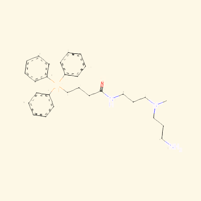 CN(CCCN)CCCNC(=O)CCC[PH](c1ccccc1)(c1ccccc1)c1ccccc1